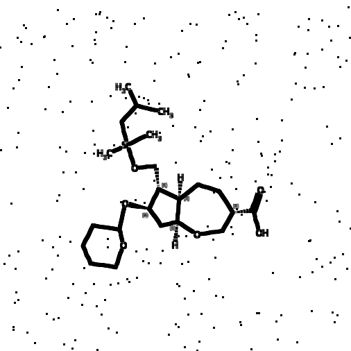 CC(C)C[Si](C)(C)OC[C@@H]1[C@H]2CC[C@H](C(=O)O)CO[C@H]2C[C@H]1OC1CCCCO1